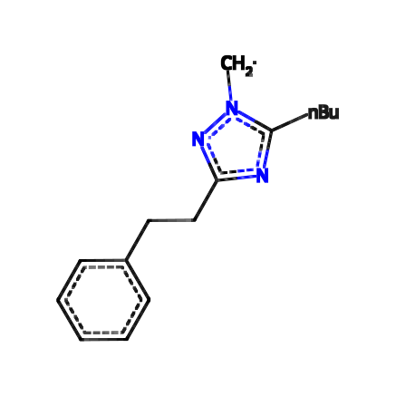 [CH2]n1nc(CCc2ccccc2)nc1CCCC